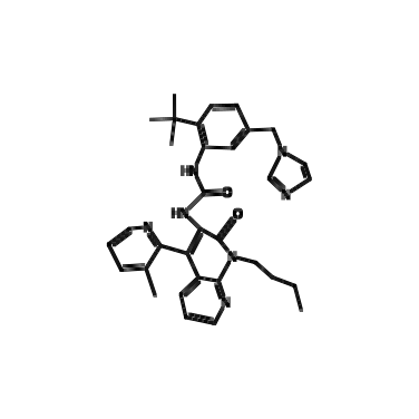 CCCCn1c(=O)c(NC(=O)Nc2cc(Cn3ccnc3)ccc2C(C)(C)C)c(-c2ncccc2C)c2cccnc21